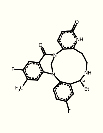 CC[C@@H]1NCCc2[nH]c(=O)ccc2N2CN(c3cc(C(F)(F)F)c(F)cc3C2=O)c2ccc(F)cc21